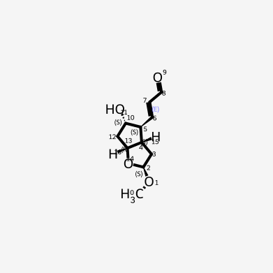 CO[C@@H]1C[C@H]2[C@H](/C=C/C=O)[C@@H](O)C[C@H]2O1